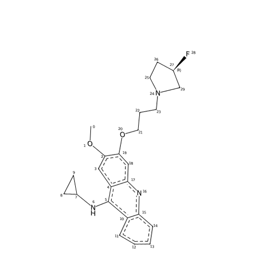 COc1cc2c(NC3CC3)c3ccccc3nc2cc1OCCCN1CC[C@@H](F)C1